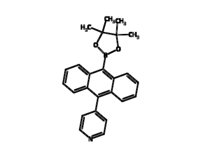 CC1(C)OB(c2c3ccccc3c(-c3ccncc3)c3ccccc23)OC1(C)C